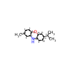 Cc1ccc2c(c1)Nc1ccc(C(C)C)cc1O2